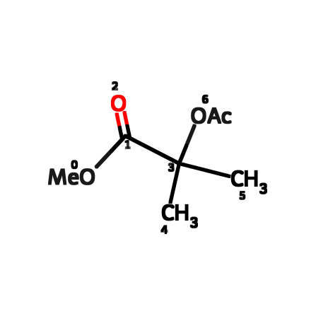 COC(=O)C(C)(C)OC(C)=O